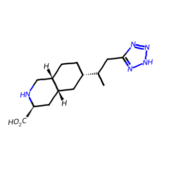 CC(Cc1nn[nH]n1)[C@H]1CC[C@H]2CN[C@H](C(=O)O)C[C@H]2C1